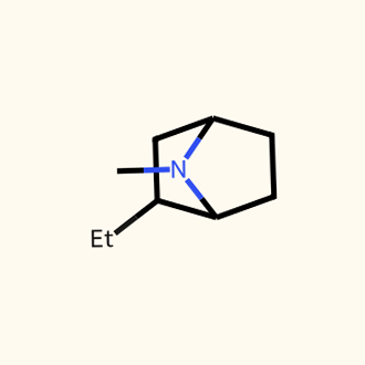 CCC1CC2CCC1N2C